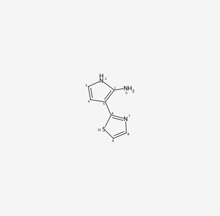 Nc1[nH]ccc1-c1nccs1